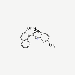 CC1=C/C(=N/N(C)c2c(O)ccc3ccccc23)C(=N)C=C1